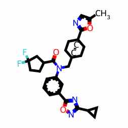 Cc1cnc(C23CCC(CN(C(=O)C4CCC(F)(F)C4)c4cccc(-c5nc(C6CC6)no5)c4)(CC2)CC3)o1